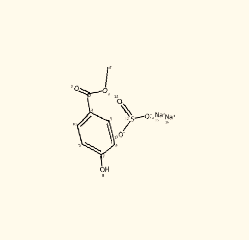 COC(=O)c1ccc(O)cc1.O=S([O-])[O-].[Na+].[Na+]